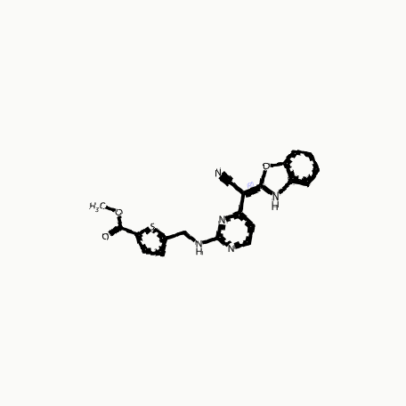 COC(=O)c1ccc(CNc2nccc(/C(C#N)=C3\Nc4ccccc4O3)n2)s1